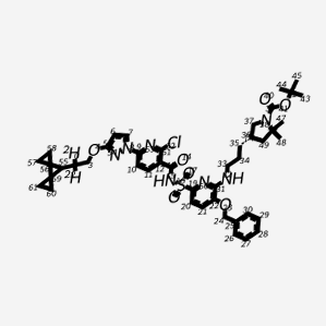 [2H]C([2H])(COc1ccn(-c2ccc(C(=O)NS(=O)(=O)c3ccc(OCc4ccccc4)c(NCCC[C@@H]4CN(C(=O)OC(C)(C)C)C(C)(C)C4)n3)c(Cl)n2)n1)C1C2(CC2)C12CC2